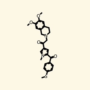 COc1cc2c(cc1OC)CN(CC(=O)c1cc(C(=O)c3ccc(SC)cc3)n(C)c1)CC2